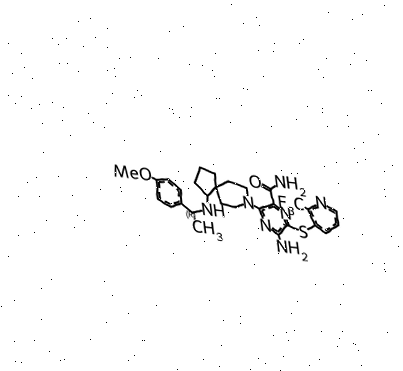 COc1ccc([C@@H](C)NC2CCCC23CCN(c2nc(N)c(Sc4cccnc4C(F)(F)F)nc2C(N)=O)CC3)cc1